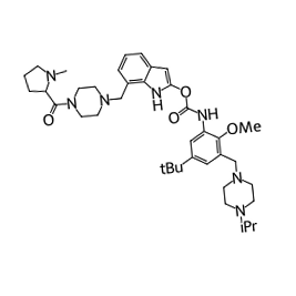 COc1c(CN2CCN(C(C)C)CC2)cc(C(C)(C)C)cc1NC(=O)Oc1cc2cccc(CN3CCN(C(=O)C4CCCN4C)CC3)c2[nH]1